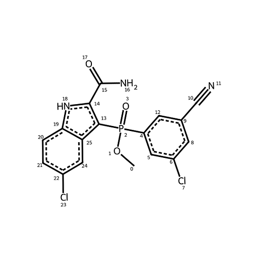 COP(=O)(c1cc(Cl)cc(C#N)c1)c1c(C(N)=O)[nH]c2ccc(Cl)cc12